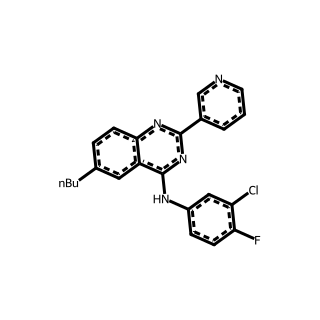 CCCCc1ccc2nc(-c3cccnc3)nc(Nc3ccc(F)c(Cl)c3)c2c1